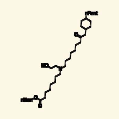 CCCCCCCCCOC(=O)CCCCCCCN(CCO)CCCCCCCC(=O)CC1CCC(CCCCC)CC1